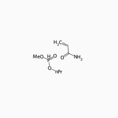 C=CC(N)=O.CCCO[PH](=O)OC